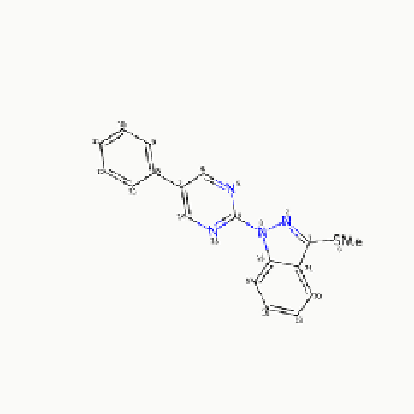 CSc1nn(-c2ncc(-c3ccccc3)cn2)c2c[c]ccc12